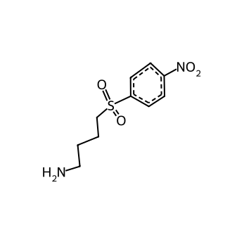 NCCCCS(=O)(=O)c1ccc([N+](=O)[O-])cc1